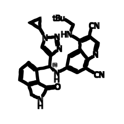 CC(C)(C)CNc1c(C#N)cnc2c(C#N)cc(N[C@H](c3cn(C4CC4)nn3)c3cccc4c3C(=O)NC4)cc12